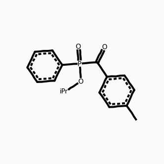 Cc1ccc(C(=O)P(=O)(OC(C)C)c2ccccc2)cc1